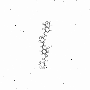 C=CC(/C=C/C(=O)CC(=O)/C=C/c1ccc(OCCN2CCOCC2)cc1OC)=C\C1=C(C)OCCO1